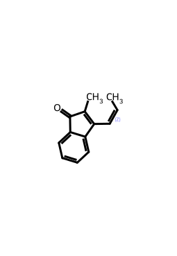 C/C=C\C1=C(C)C(=O)c2ccccc21